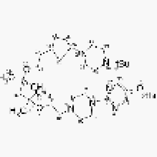 CC(C)(C)Oc1cnc(N2CCN(CCOC(C)(C)CC(C)(C)OCCC3CCC(N4CCN(C(C)(C)C)CC4)C3)CC2)nc1